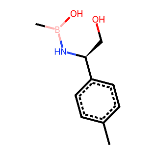 CB(O)N[C@@H](CO)c1ccc(C)cc1